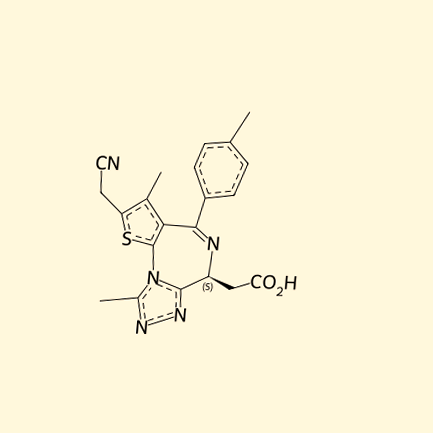 Cc1ccc(C2=N[C@@H](CC(=O)O)c3nnc(C)n3-c3sc(CC#N)c(C)c32)cc1